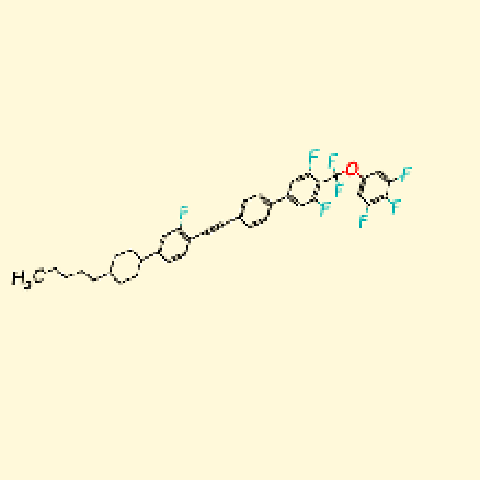 CCCCCC1CCC(c2ccc(C#Cc3ccc(-c4cc(F)c(C(F)(F)Oc5cc(F)c(F)c(F)c5)c(F)c4)cc3)c(F)c2)CC1